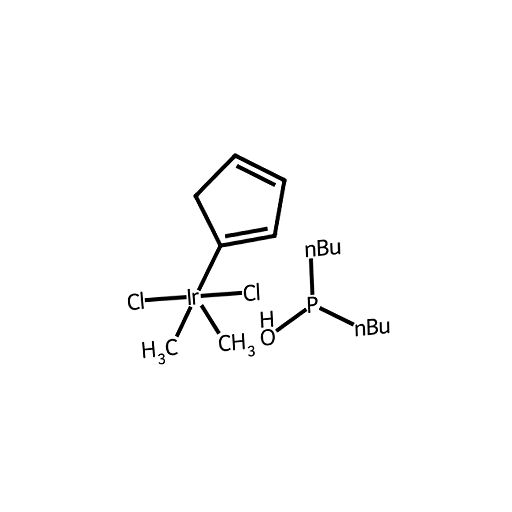 CCCCP(O)CCCC.[CH3][Ir]([CH3])([Cl])([Cl])[C]1=CC=CC1